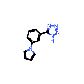 c1cc(-c2nnn[nH]2)cc(-n2cccc2)c1